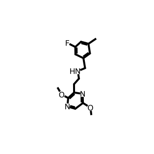 COc1cnc(OC)c(CCNCc2cc(C)cc(F)c2)n1